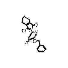 O=C1C2=C(CCCC2)C(=O)N1c1cc(Cl)c(OCc2ccccc2)cn1